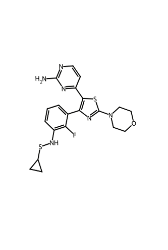 Nc1nccc(-c2sc(N3CCOCC3)nc2-c2cccc(NSC3CC3)c2F)n1